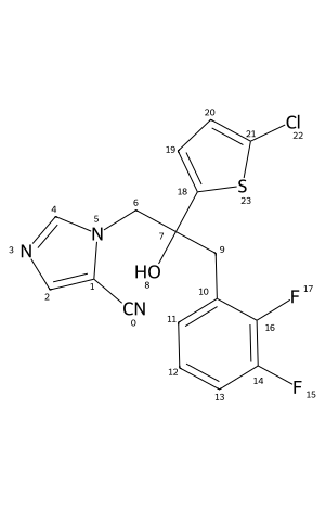 N#Cc1cncn1CC(O)(Cc1cccc(F)c1F)c1ccc(Cl)s1